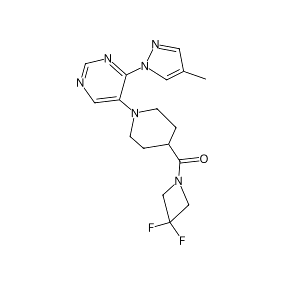 Cc1cnn(-c2ncncc2N2CCC(C(=O)N3CC(F)(F)C3)CC2)c1